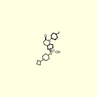 Cl.Cl.O=C1CCc2cc(OC3CCN(C4CCC4)CC3)ccc2N1c1ccc(F)cc1